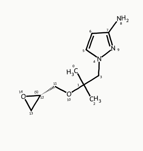 CC(C)(Cn1ccc(N)n1)OC[C@@H]1CO1